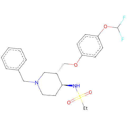 CCS(=O)(=O)N[C@H]1CCN(Cc2ccccc2)C[C@@H]1COc1ccc(OC(F)F)cc1